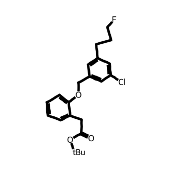 CC(C)(C)OC(=O)Cc1ccccc1OCc1cc(Cl)cc(CCCF)c1